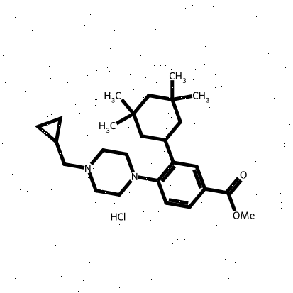 COC(=O)c1ccc(N2CCN(CC3CC3)CC2)c(C2CC(C)(C)CC(C)(C)C2)c1.Cl